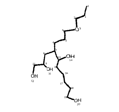 CCCOCCCC(CC(O)CO)C(O)CCCCCO